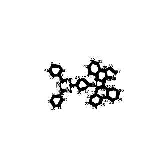 c1ccc(-c2nc(-c3ccccc3)nc(-c3ccc(-n4c5c6ccccc6c6ccccc6c5c5c6sccc6c6ccccc6c54)cc3)n2)cc1